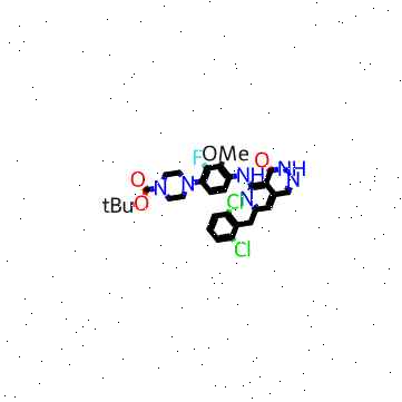 COc1c(Nc2nc(Cc3c(Cl)cccc3Cl)cc3cn[nH]c(=O)c23)ccc(N2CCN(C(=O)OC(C)(C)C)CC2)c1F